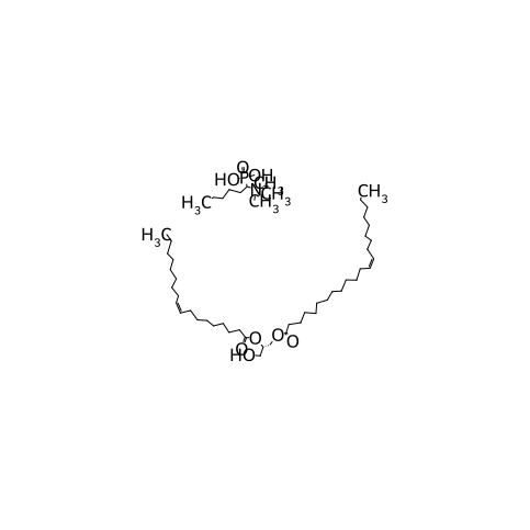 CCCCCC([N+](C)(C)C)P(=O)(O)O.CCCCCCCC/C=C\CCCCCCCCCCCC(=O)OC[C@H](CO)OC(=O)CCCCCCC/C=C\CCCCCCCC